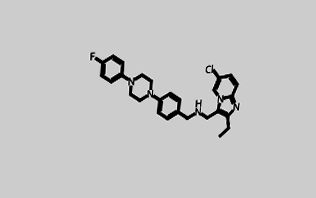 CCc1nc2ccc(Cl)cn2c1CNCc1ccc(N2CCN(c3ccc(F)cc3)CC2)cc1